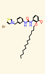 CCCCCCCCCCCCCCOc1c(NC(=O)Nc2cccc(C[n+]3ccsc3)c2)cccc1OC.[Br-]